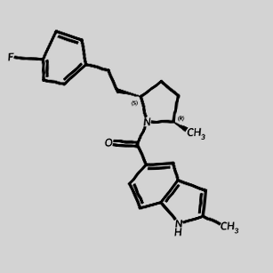 Cc1cc2cc(C(=O)N3[C@@H](CCc4ccc(F)cc4)CC[C@H]3C)ccc2[nH]1